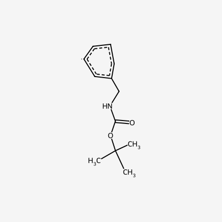 CC(C)(C)OC(=O)NCc1c[c]ccc1